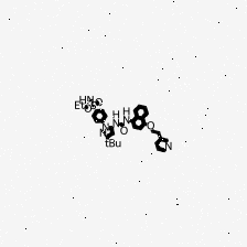 CCOS(=N)(=O)c1ccc(-n2nc(C(C)(C)C)cc2NC(=O)Nc2ccc(OCCc3cccnc3)c3ccccc23)cc1